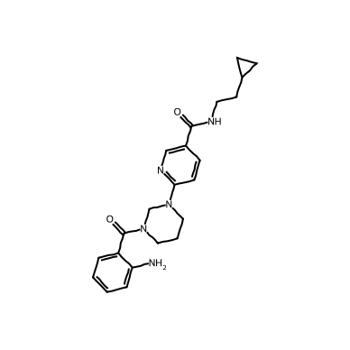 Nc1ccccc1C(=O)N1CCCN(c2ccc(C(=O)NCCC3CC3)cn2)C1